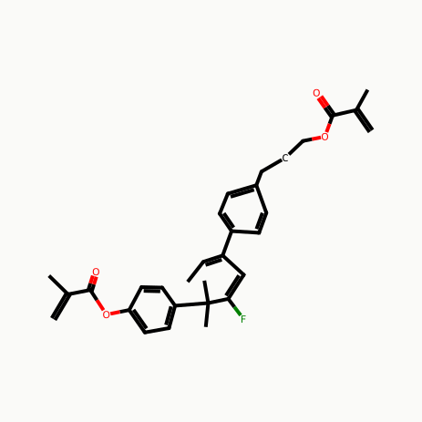 C=C(C)C(=O)OCCCc1ccc(C(=C/C)/C=C(/F)C(C)(C)c2ccc(OC(=O)C(=C)C)cc2)cc1